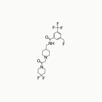 O=C(NCC1CCN(CC(=O)N2CCC(F)(F)CC2)CC1)c1cc(CF)cc(C(F)(F)F)c1